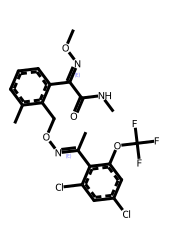 CNC(=O)/C(=N/OC)c1cccc(C)c1CO/N=C(\C)c1c(Cl)cc(Cl)cc1OC(F)(F)F